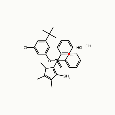 Cl.Cl.[CH2]=[Ti]([O]c1cc(Cl)cc(C(C)(C)C)c1)([C]1=C([SiH3])C(C)=C(C)C1C)([c]1ccccc1)[c]1ccccc1